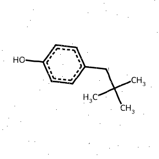 CC(C)(C)[C]c1ccc(O)cc1